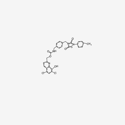 Cc1ccc(-n2sc(=O)n(Cc3ccc(CNC(=O)OCc4ccc5c(Cl)cc(Cl)c(O)c5n4)cc3)c2=O)cc1